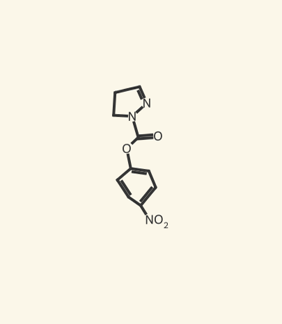 O=C(Oc1ccc([N+](=O)[O-])cc1)N1CCC=N1